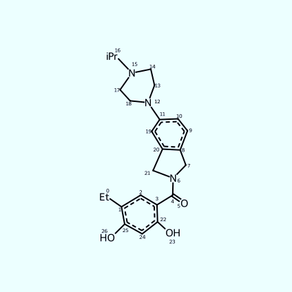 CCc1cc(C(=O)N2Cc3ccc(N4CCN(C(C)C)CC4)cc3C2)c(O)cc1O